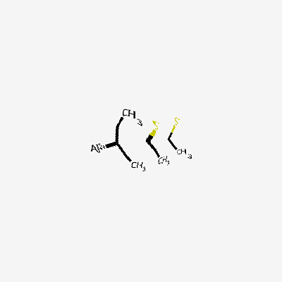 CC[S-].CC[S-].C[CH](C)[Al+2]